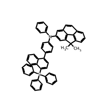 CC1(C)c2cccc3ccc4cc(N(c5ccccc5)c5ccc(-c6ccc([Si](c7ccccc7)(c7ccccc7)c7ccccc7)c7ccccc67)cc5)cc1c4c23